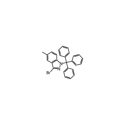 Cc1ccc2c(c1)c(Br)nn2C(c1ccccc1)(c1ccccc1)c1ccccc1